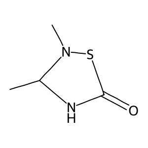 CC1NC(=O)SN1C